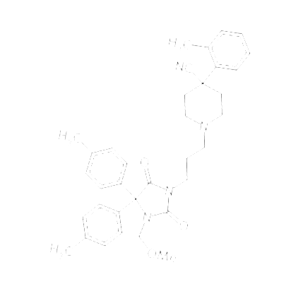 COCN1C(=O)N(CCCN2CCC(C#N)(c3ccccc3C)CC2)C(=O)C1(c1ccc(C)cc1)c1ccc(C)cc1